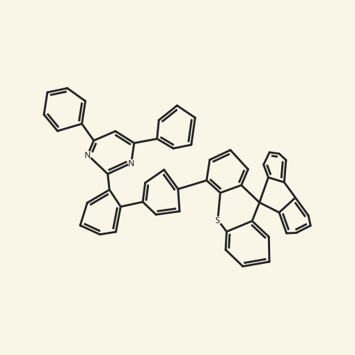 c1ccc(-c2cc(-c3ccccc3)nc(-c3ccccc3-c3ccc(-c4cccc5c4Sc4ccccc4C54c5ccccc5-c5ccccc54)cc3)n2)cc1